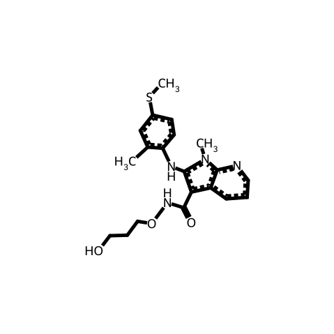 CSc1ccc(Nc2c(C(=O)NOCCCO)c3cccnc3n2C)c(C)c1